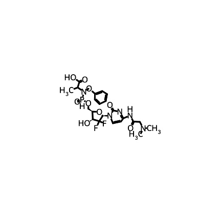 CC(C(=O)O)N(Oc1ccccc1)[PH](=O)OC[C@H]1O[C@@H](n2ccc(NC(=O)CN(C)C)nc2=O)C(F)(F)[C@@H]1O